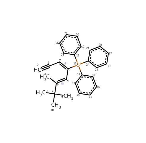 C#C/C=C(\C=C(/C)C(C)(C)C)S(c1ccccc1)(c1ccccc1)c1ccccc1